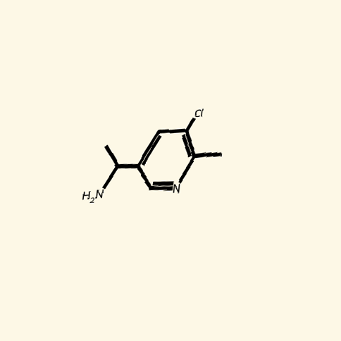 Cc1ncc(C(C)N)cc1Cl